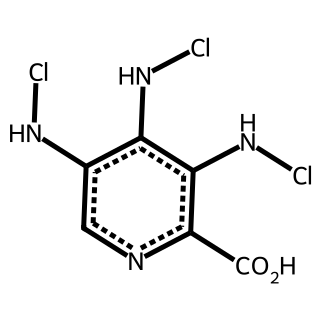 O=C(O)c1ncc(NCl)c(NCl)c1NCl